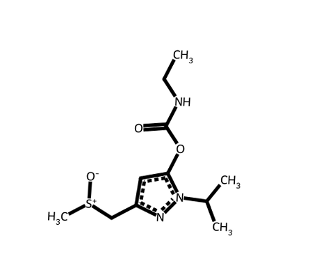 CCNC(=O)Oc1cc(C[S+](C)[O-])nn1C(C)C